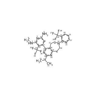 CNc1nc(N)cc(-c2nc(C(C)C)nc3c2CCN(c2ncccc2C(F)(F)F)CC3)c1C(F)(F)F